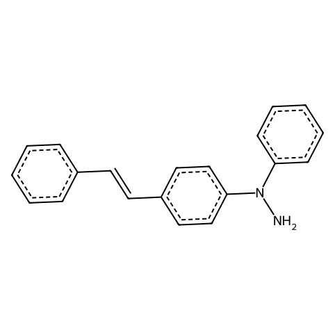 NN(c1ccccc1)c1ccc(C=Cc2ccccc2)cc1